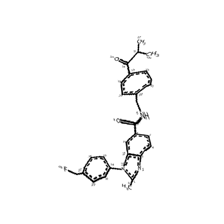 Cc1nc2ccc(C(=O)Nc3ccc(C(=O)C(C)C)cc3)cc2n1-c1ccc(F)cc1